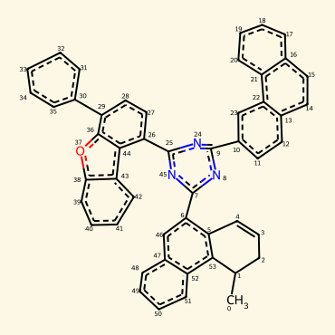 CC1CC=Cc2c(-c3nc(-c4ccc5ccc6ccccc6c5c4)nc(-c4ccc(-c5ccccc5)c5oc6ccccc6c45)n3)cc3ccccc3c21